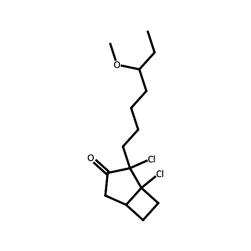 CCC(CCCCC1(Cl)C(=O)CC2CCC21Cl)OC